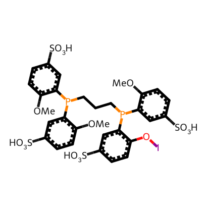 COc1ccc(S(=O)(=O)O)cc1P(CCCP(c1cc(S(=O)(=O)O)ccc1OC)c1cc(S(=O)(=O)O)ccc1OI)c1cc(S(=O)(=O)O)ccc1OC